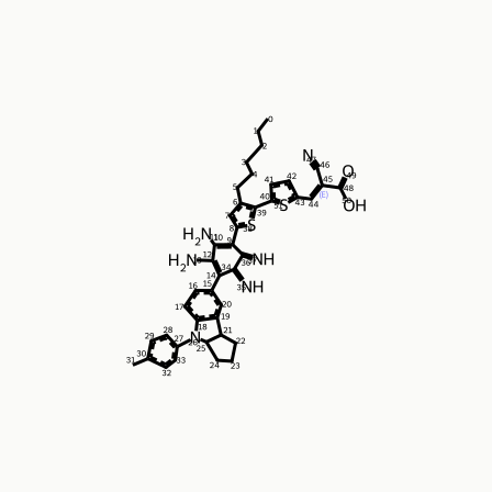 CCCCCCc1cc(C2=C(N)C(N)=C(c3ccc4c(c3)C3CCCC3N4c3ccc(C)cc3)C(=N)C2=N)sc1-c1ccc(/C=C(\C#N)C(=O)O)s1